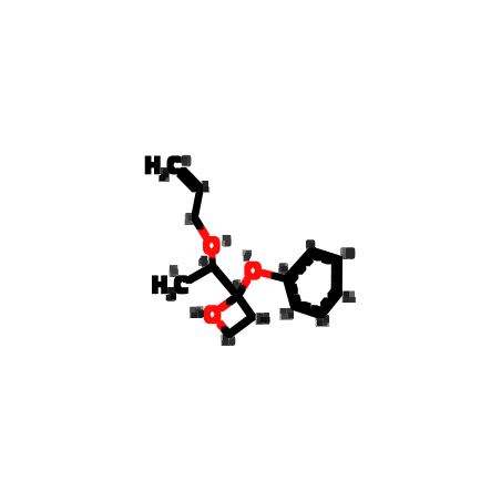 C=CCOC(C)C1(Oc2ccccc2)CCO1